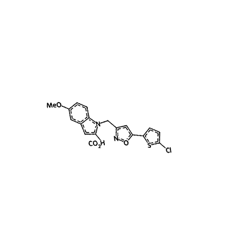 COc1ccc2c(c1)cc(C(=O)O)n2Cc1cc(-c2ccc(Cl)s2)on1